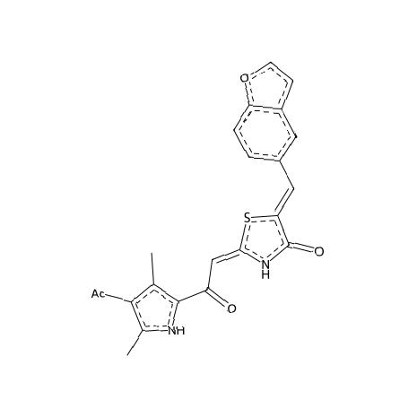 CC(=O)c1c(C)[nH]c(C(=O)/C=c2\[nH]c(=O)/c(=C/c3ccc4occc4c3)s2)c1C